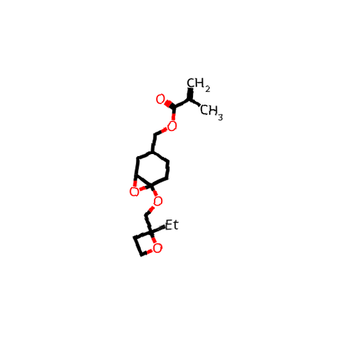 C=C(C)C(=O)OCC1CCC2(OCC3(CC)CCO3)OC2C1